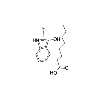 CCCCCCCC(=O)O.Oc1c(F)[nH]c2ccccc12